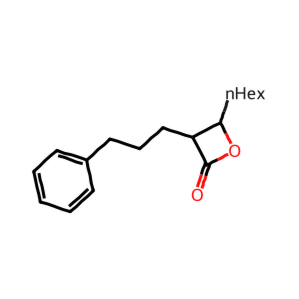 CCCCCCC1OC(=O)C1CCCc1ccccc1